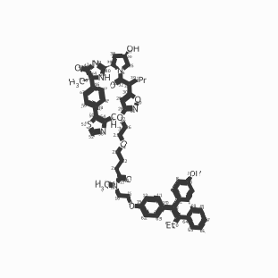 CC/C(=C(/c1ccc(O)cc1)c1ccc(OCCN(C)C(=O)CCCOCCOc2cc(C(C(=O)N3C[C@H](O)C[C@H]3C3=NC(=O)[C@](C)(c4ccc(-c5scnc5C)cc4)N3)C(C)C)on2)cc1)c1ccccc1